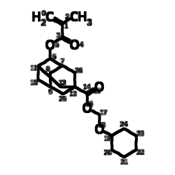 C=C(C)C(=O)OC1C2CC3CC1CC(C(=O)OCOC1CCCCC1)(C3)C2